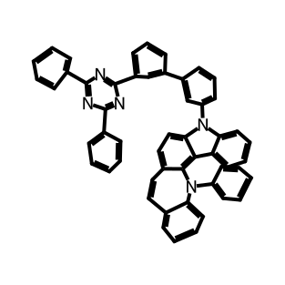 C1=Cc2ccc3c(c2N(c2ccccc2)c2ccccc21)c1ccccc1n3-c1cccc(-c2cccc(-c3nc(-c4ccccc4)nc(-c4ccccc4)n3)c2)c1